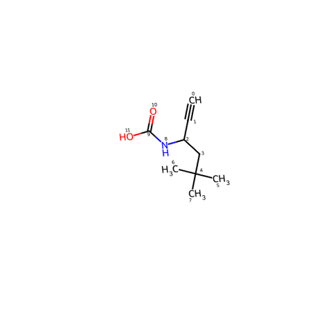 C#CC(CC(C)(C)C)NC(=O)O